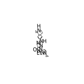 CCn1c(=O)c2cnc(Nc3ccc4c(c3)CCNC43CC3)nc2n1-c1ccn(C2CC2)n1